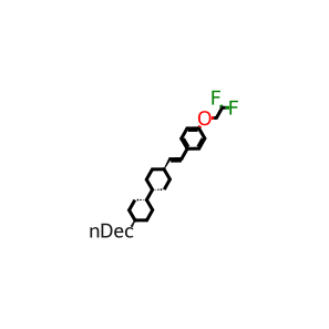 CCCCCCCCCC[C@H]1CC[C@H]([C@H]2CC[C@H](C=Cc3ccc(OCC(F)F)cc3)CC2)CC1